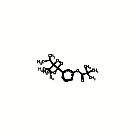 COC1(c2cccc(OC(=O)C(C)(C)C)c2)OOC1(C(C)C)C(C)C